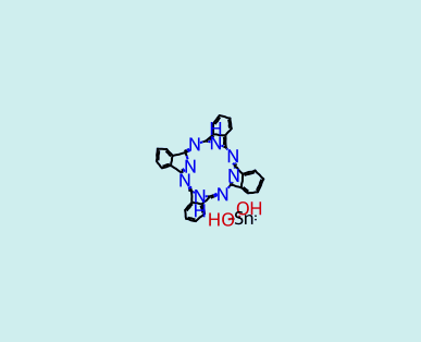 [OH][Sn][OH].c1ccc2c(c1)-c1nc-2nc2[nH]c(nc3nc(nc4[nH]c(n1)c1ccccc41)-c1ccccc1-3)c1ccccc21